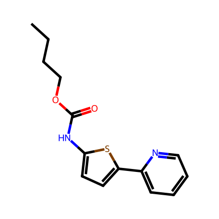 CCCCOC(=O)Nc1ccc(-c2ccccn2)s1